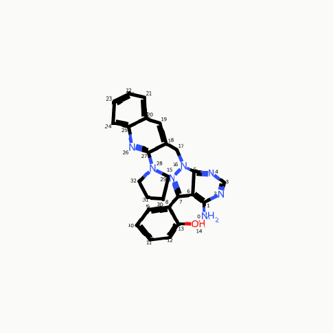 Nc1ncnc2c1c(-c1ccccc1O)nn2Cc1cc2ccccc2nc1N1CCCC1